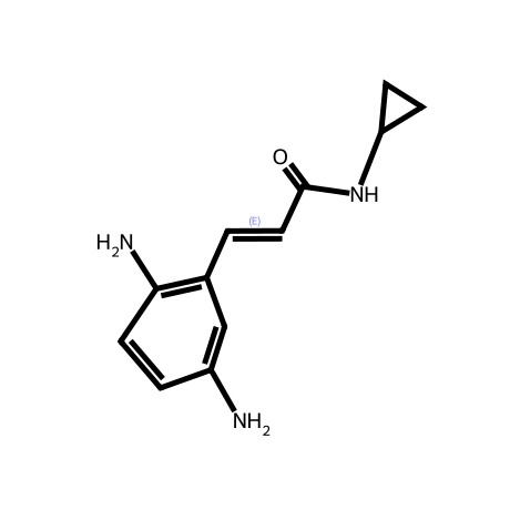 Nc1ccc(N)c(/C=C/C(=O)NC2CC2)c1